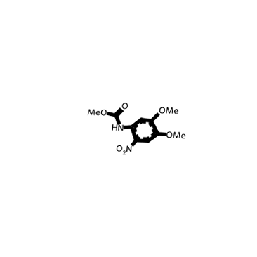 COC(=O)Nc1cc(OC)c(OC)cc1[N+](=O)[O-]